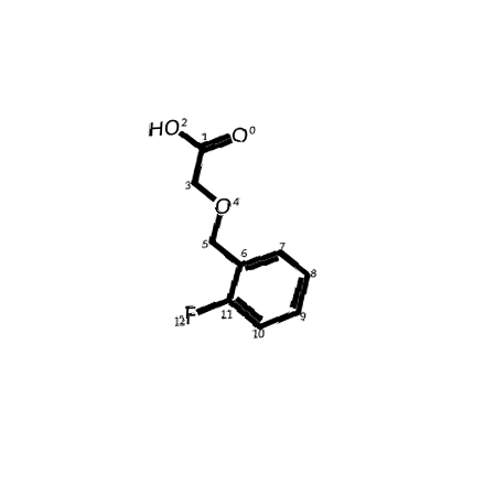 O=C(O)COCc1ccccc1F